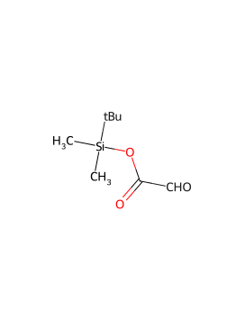 CC(C)(C)[Si](C)(C)OC(=O)C=O